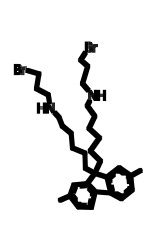 Cc1ccc2c(c1)C(CCCCCCNCCCBr)(CCCCCCNCCCBr)c1cc(C)ccc1-2